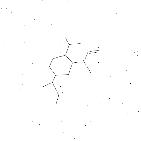 C=CN(C)C1CC(C(C)CC)CCC1C(C)C